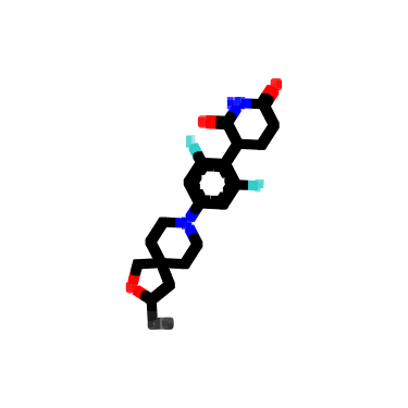 O=CC1CC2(CCN(c3cc(F)c(C4CCC(=O)NC4=O)c(F)c3)CC2)CO1